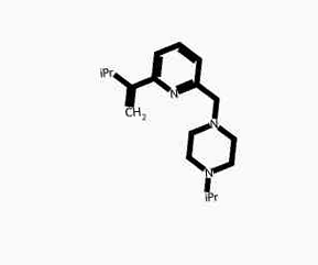 C=C(c1cccc(CN2CCN(C(C)C)CC2)n1)C(C)C